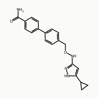 NC(=O)c1ccc(-c2ccc(CONc3cc(C4CC4)[nH]n3)cc2)cc1